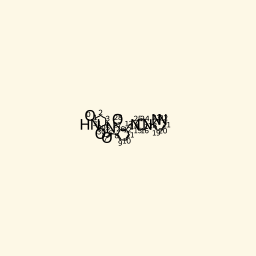 O=C1CCC(N2C(=O)c3cccc(CN4CCN(c5cccnn5)CC4)c3C2=O)C(=O)N1